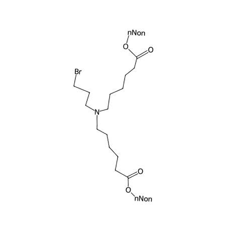 CCCCCCCCCOC(=O)CCCCCN(CCCBr)CCCCCC(=O)OCCCCCCCCC